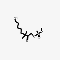 COP(C)(=O)OCC(=O)C(C)(C)CCCCCO